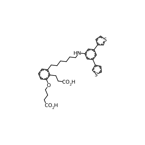 O=C(O)CCCOc1cccc(CCCCCCNc2cc(-c3ccsc3)cc(-c3ccsc3)c2)c1CCC(=O)O